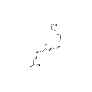 CCC(O)/C=C/C=C\CC(O)/C=C/C=C\C/C=C\CCCC(=O)O